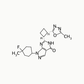 Cc1nnc([C@H]2CC[C@H]2c2nc3c(cnn3C3CCC(C)(F)CC3)c(=O)[nH]2)o1